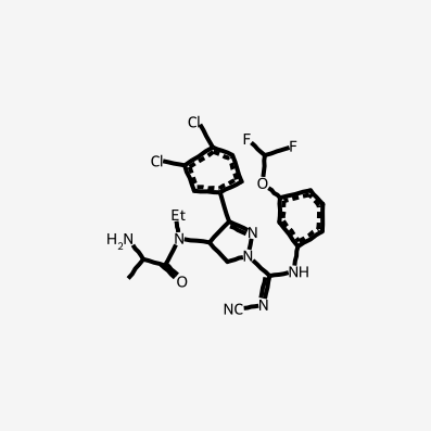 CCN(C(=O)C(C)N)C1CN(C(=NC#N)Nc2cccc(OC(F)F)c2)N=C1c1ccc(Cl)c(Cl)c1